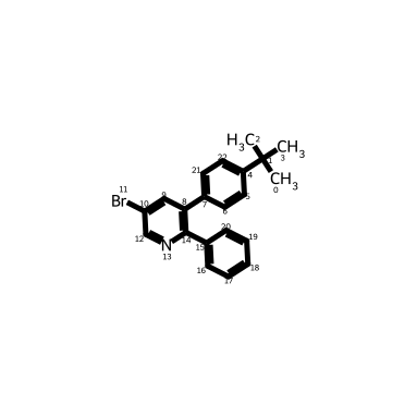 CC(C)(C)c1ccc(-c2cc(Br)cnc2-c2ccccc2)cc1